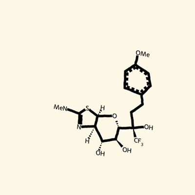 CNC1=N[C@@H]2[C@@H](O)[C@H](O)[C@@H]([C@@](O)(CCc3ccc(OC)cc3)C(F)(F)F)O[C@@H]2S1